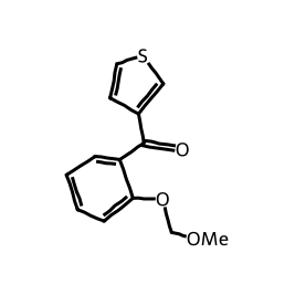 COCOc1ccccc1C(=O)c1ccsc1